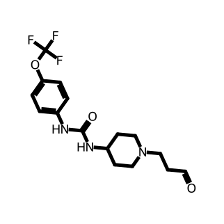 O=CCCN1CCC(NC(=O)Nc2ccc(OC(F)(F)F)cc2)CC1